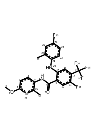 COc1ccc(NC(=O)c2cc(F)c(C(F)(F)F)cc2Nc2ccc(F)cc2C)c(C)n1